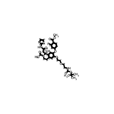 COC(=O)c1ccc(Oc2cc3c(cc2OCCOCCNC(=O)OC(C)(C)C)CCN(C(=O)O)[C@]3(C)CC(=O)Nc2nccs2)cc1F